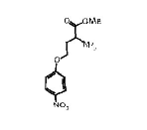 COC(=O)C(N)CCOc1ccc([N+](=O)[O-])cc1